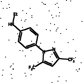 CCNc1ccc(-n2nc(C(F)(F)F)cc2C(F)(F)F)cc1